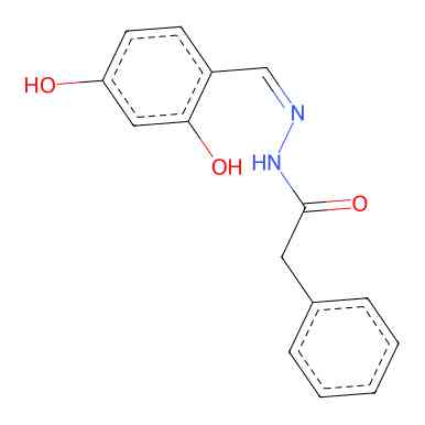 O=C(Cc1ccccc1)N/N=C\c1ccc(O)cc1O